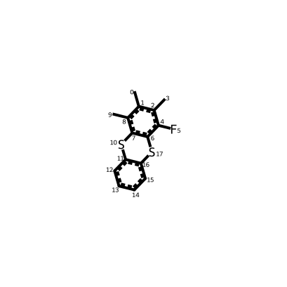 Cc1c(C)c(F)c2c(c1C)Sc1ccccc1S2